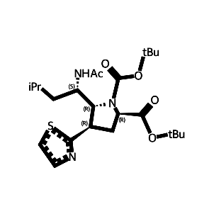 CC(=O)N[C@@H](CC(C)C)[C@H]1[C@H](c2nccs2)C[C@H](C(=O)OC(C)(C)C)N1C(=O)OC(C)(C)C